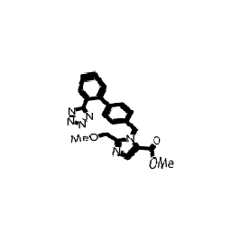 COCc1ncc(C(=O)OC)n1Cc1ccc(-c2ccccc2C2N=NN=N2)cc1